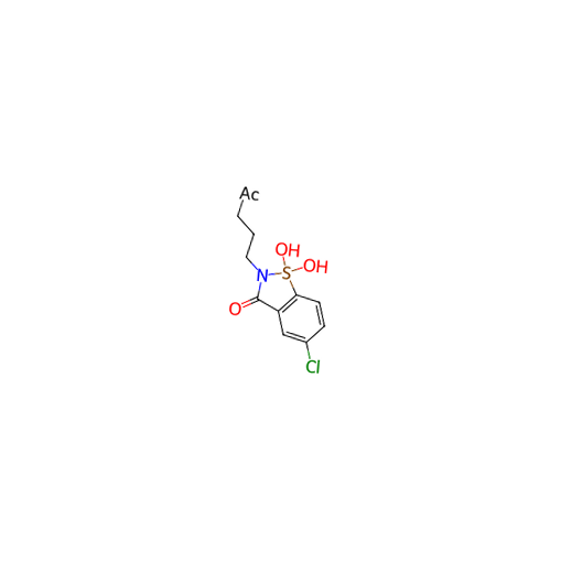 CC(=O)CCCN1C(=O)c2cc(Cl)ccc2S1(O)O